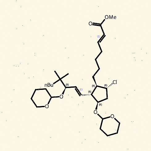 CCCCC(C)(C)[C@@H](/C=C/[C@@H]1[C@@H](CCCC/C=C/C(=O)OC)[C@H](Cl)C[C@H]1OC1CCCCO1)OC1CCCCO1